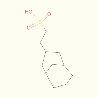 O=S(=O)(O)CCC1CC2CCCC(C2)C1